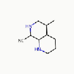 CC1CNC(C#N)C2NCCCC12